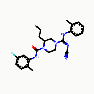 CCCC1CN(/C(=N\C#N)Nc2ccccc2C)CCN1C(=O)Nc1cc(F)ccc1C